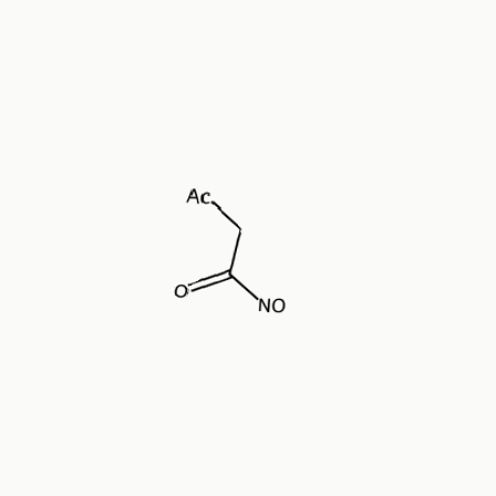 CC(=O)CC(=O)N=O